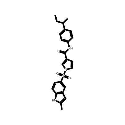 CCC(C)c1ccc(NC(=O)c2ccn(S(=O)(=O)c3ccc4[nH]c(C)cc4c3)c2)cc1